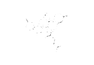 CC(=O)/C=C/C(=O)[C@@H]1CC2=CC(=O)CC[C@]2(C)[C@@H]2[C@@H]1[C@@H]1CC[C@@]3(CCC(=O)O3)[C@@]1(C)C[C@H]2O